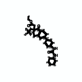 CCOC(=O)CC1(CC(F)(F)F)CCc2cc(-c3ccc(NC(=O)Nc4ccccc4)cc3)ccc2C1=O